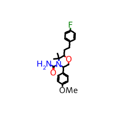 COc1ccc(C2COC(CCc3ccc(F)cc3)C(C)(C)N2C(N)=O)cc1